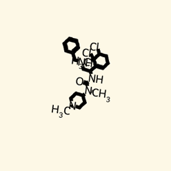 CN1CCC(N(C)C(=O)NC(CNCc2ccccc2)C2=CCCC(Cl)C2(C)Cl)CC1